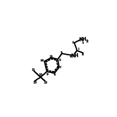 CC(CN)NCc1ccc(C(C)(C)C)cc1